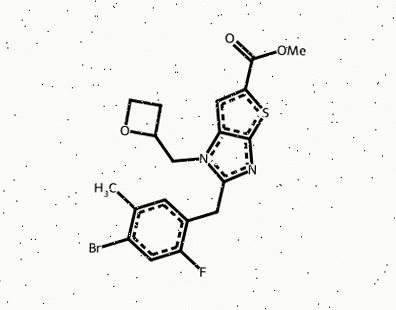 COC(=O)c1cc2c(nc(Cc3cc(C)c(Br)cc3F)n2CC2CCO2)s1